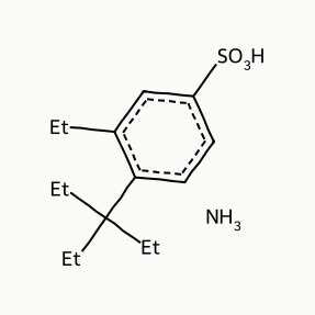 CCc1cc(S(=O)(=O)O)ccc1C(CC)(CC)CC.N